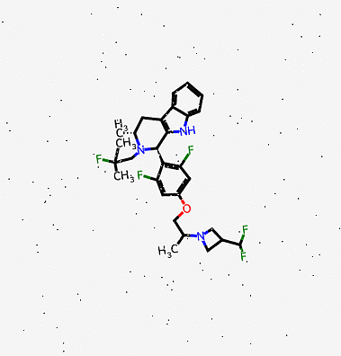 CC(COc1cc(F)c([C@@H]2c3[nH]c4ccccc4c3C[C@@H](C)N2CC(C)(C)F)c(F)c1)N1CC(C(F)F)C1